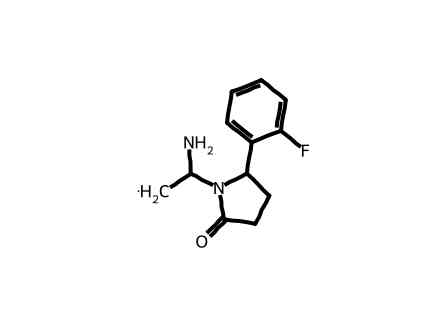 [CH2]C(N)N1C(=O)CCC1c1ccccc1F